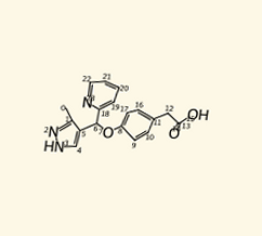 Cc1n[nH]cc1C(Oc1ccc(CC(=O)O)cc1)c1ccccn1